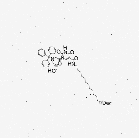 CCCCCCCCCCCCCCCCCCCCCCNC(=O)c1cn([C@H]2CN(C(c3ccccc3)(c3ccccc3)c3ccccc3)C[C@@H](CO)O2)c(=O)[nH]c1=O